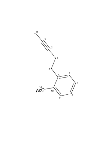 [CH2]C#CCCc1ccccc1OC(C)=O